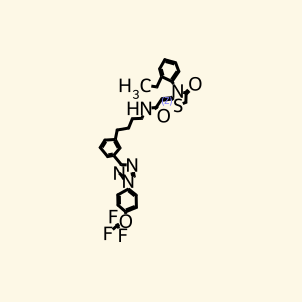 CCc1ccccc1N1C(=O)CS/C1=C\C(=O)NCCCCc1cccc(-c2ncn(-c3ccc(OC(F)(F)F)cc3)n2)c1